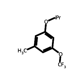 Cc1cc(OC(C)C)cc(OC(F)(F)F)c1